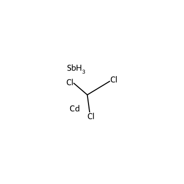 ClC(Cl)Cl.[Cd].[SbH3]